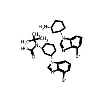 CC(C)(C)N(C(=O)O)[C@@H]1CCC[C@H](n2cnc3c(Br)cccc32)C1.N[C@@H]1CCC[C@H](n2cnc3c(Br)cccc32)C1